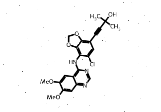 COc1cc2ncnc(Nc3c(Cl)cc(C#CC(C)(C)O)c4c3OCO4)c2cc1OC